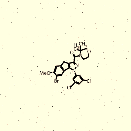 COc1cc2c(cc1Br)-c1c(c(C(=O)N3CCOCC3(C)C)nn1-c1cc(Cl)cc(Cl)c1)C2